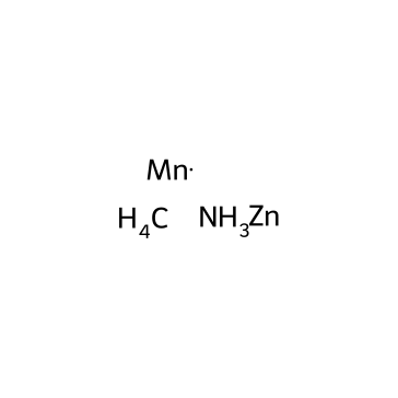 C.N.[Mn].[Zn]